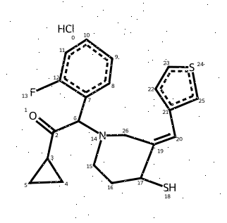 Cl.O=C(C1CC1)C(c1ccccc1F)N1CCC(S)C(=Cc2ccsc2)C1